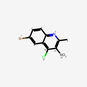 Cc1nc2ccc(Br)cc2c(Cl)c1[N+](=O)[O-]